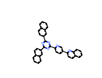 c1ccc2cc(-c3nc(-c4ccc5ccccc5c4)nc(-c4ccc(-c5ccc6ccccc6n5)cn4)n3)ccc2c1